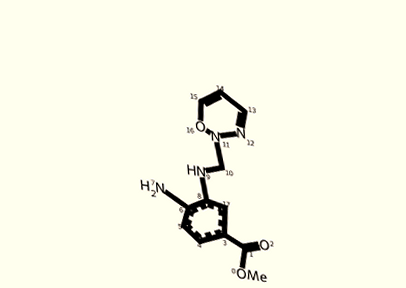 COC(=O)c1ccc(N)c(NCN2N=CC=CO2)c1